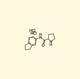 Cl.Cl.O=C(Nc1ccc2c(c1)CCC2)C1CCCN1